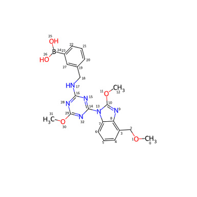 COCc1cccc2c1nc(OC)n2-c1nc(NCc2cccc(B(O)O)c2)nc(OC)n1